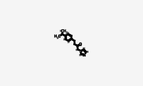 CC(C)c1ccc(CCC(=O)Cn2ccnc2)cc1